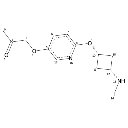 CC(=O)COc1ccc(O[C@H]2C[C@@H](NI)C2)nc1